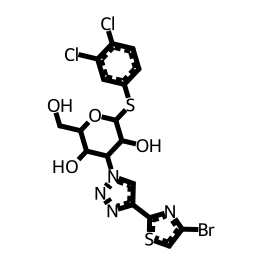 OCC1OC(Sc2ccc(Cl)c(Cl)c2)C(O)C(n2cc(-c3nc(Br)cs3)nn2)C1O